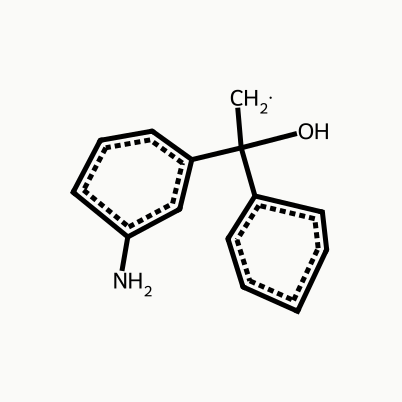 [CH2]C(O)(c1ccccc1)c1cccc(N)c1